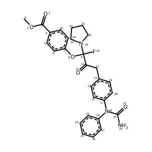 COC(=O)c1ccc(OC(F)(C(=O)Cc2ccc(N(C(N)=O)c3ccccc3)cc2)N2CCCC2)cc1